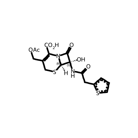 CC(=O)OCC1=C(C(=O)O)N2C(=O)[C@@](O)(NC(=O)Cc3cccs3)[C@H]2SC1